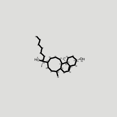 CCCCCC[C@](C)(O)C1CCCC2C(CC=C3C[C@@H](O)CC[C@@]32C)C(C)CC1